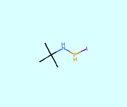 CC(C)(C)NPI